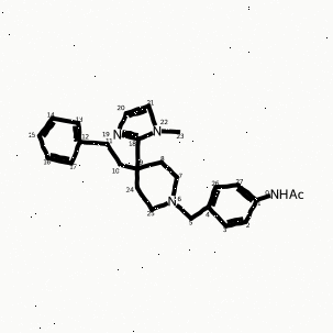 CC(=O)Nc1ccc(CN2CCC(CCc3ccccc3)(c3nccn3C)CC2)cc1